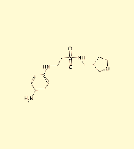 Nc1ccc(NCCS(=O)(=O)NCC2CCOC2)cc1